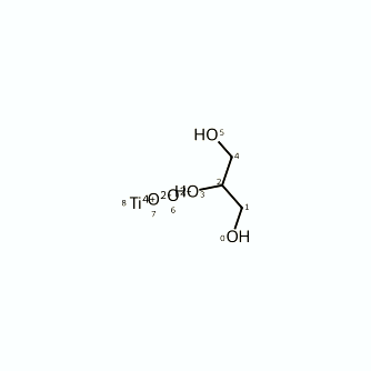 OCC(O)CO.[O-2].[O-2].[Ti+4]